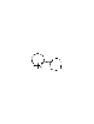 C1=C(C2=NCCCCC2)CCCCC1